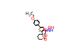 CCOc1ccc(-c2ccc([C@@]3(CC(=O)NO)CCCCS3(=O)=O)s2)cc1